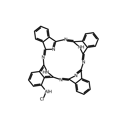 [Cl][AlH][c]1cccc2c3nc4nc(nc5[nH]c(nc6nc(nc([nH]3)c12)-c1ccccc1-6)c1ccccc51)-c1ccccc1-4